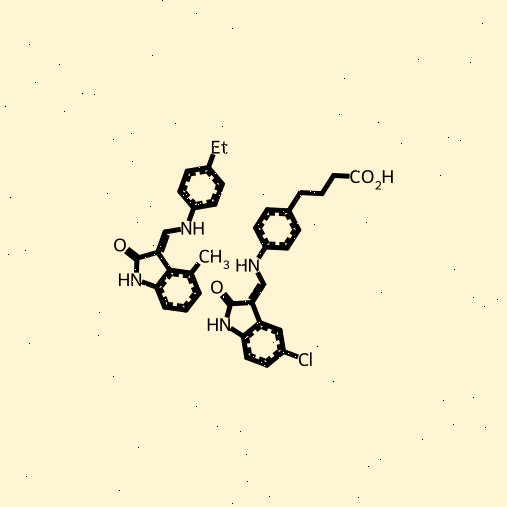 CCc1ccc(N/C=C2/C(=O)Nc3cccc(C)c32)cc1.O=C(O)CCCc1ccc(N/C=C2\C(=O)Nc3ccc(Cl)cc32)cc1